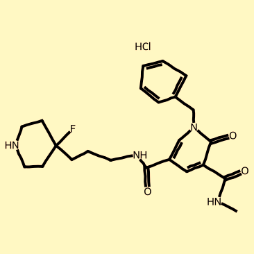 CNC(=O)c1cc(C(=O)NCCCC2(F)CCNCC2)cn(Cc2ccccc2)c1=O.Cl